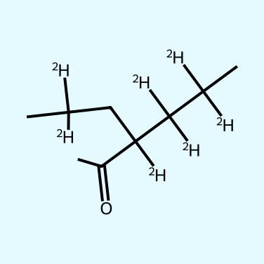 [2H]C([2H])(C)CC([2H])(C(C)=O)C([2H])([2H])C([2H])([2H])C